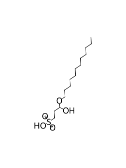 CCCCCCCCCCCCOC(O)CCS(=O)(=O)O